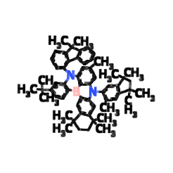 Cc1cc2c3c(c1)N(c1cccc4c1-c1ccccc1C4(C)C)c1cc(C(C)(C)C)ccc1B3c1cc3c(cc1N2c1cc2c(cc1C)C(C)(C)CC2(C)C)C(C)(C)CCC3(C)C